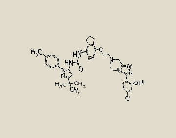 Cc1ccc(-n2nc(C(C)(C)C)cc2NC(=O)Nc2ccc(OCCN3CCn4c(nnc4-c4ccc(Cl)cc4O)C3)c3c2CCC3)cc1